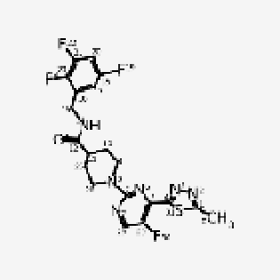 Cc1nnc(-c2nc(N3CCC(C(=O)NCc4cc(F)cc(F)c4F)CC3)ncc2F)s1